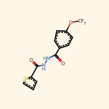 O=C(NNC(=O)c1cccs1)c1ccc(OC(F)(F)F)cc1